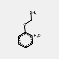 O.[SiH3]COc1ccccc1